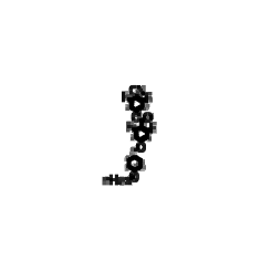 CCCCCCO[C@H]1CC[C@H](COc2cc(F)c(C(=O)Oc3cc(F)c(C#N)c(F)c3)c(F)c2)CC1